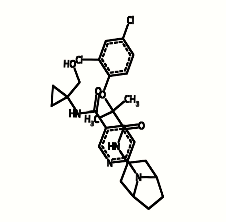 CC(C)(Oc1ccc(Cl)cc1Cl)C(=O)NC1CC2CCC(C1)N2c1ccc(C(=O)NC2(CO)CC2)cn1